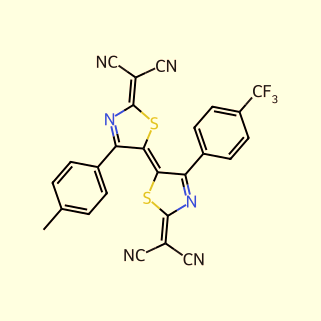 Cc1ccc(-c2nc(=C(C#N)C#N)s/c2=c2/sc(=C(C#N)C#N)nc2-c2ccc(C(F)(F)F)cc2)cc1